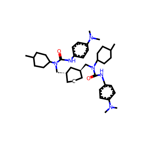 CC1CCC(N(C[C@H]2CCC[C@H](CN(C(=O)Nc3ccc(N(C)C)cc3)C3CCC(C)CC3)C2)C(=O)Nc2ccc(N(C)C)cc2)CC1